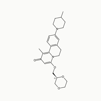 Cc1c2n(c(OC[C@@H]3COCCO3)cc1=O)CCc1cc(N3CCC(C)CC3)ccc1-2